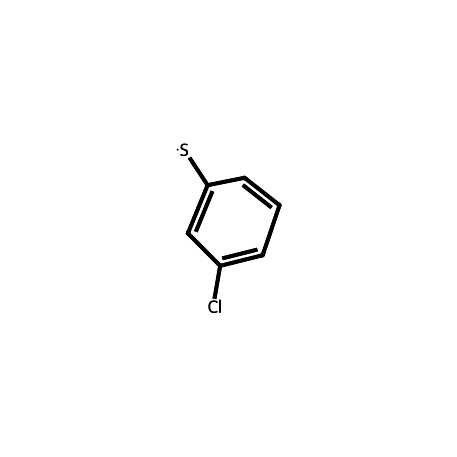 [S]c1cccc(Cl)c1